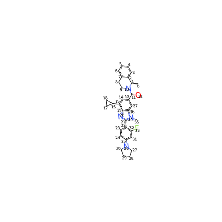 C[C@@H]1c2ccccc2CCN1C(=O)c1cc(C2CC2)c2nc(-c3ccc(N4CCCC4)cc3F)n(C)c2c1